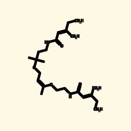 C/C(=C/COC(C)(C)CCNC(=O)/C=C(/CC(=O)O)C(=O)O)OCCNC(=O)/C=C(/CC(=O)O)C(=O)O